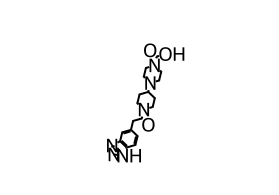 O=C(O)N1CCN(C2CCN(C(=O)Cc3ccc4[nH]nnc4c3)CC2)CC1